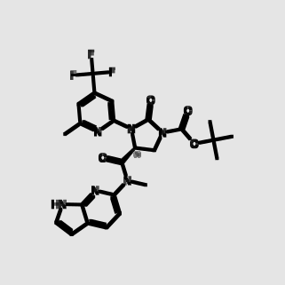 Cc1cc(C(F)(F)F)cc(N2C(=O)N(C(=O)OC(C)(C)C)C[C@H]2C(=O)N(C)c2ccc3cc[nH]c3n2)n1